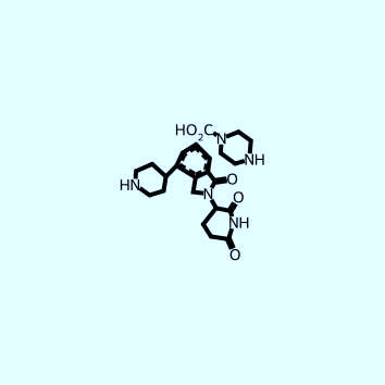 O=C(O)N1CCNCC1.O=C1CCC(N2Cc3c(cccc3C3CCNCC3)C2=O)C(=O)N1